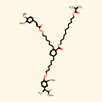 C=C(C)C(=O)OCCCCCCCCCCCOC(=O)c1cc(CCCCCCOOc2ccc(C(=C)C(=O)OC)cc2OC)ccc1CCCCCCOOC(=O)C=Cc1ccc(OCCCC)c(OC)c1